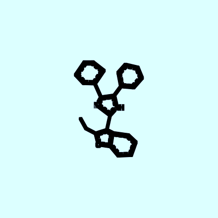 CCc1oc2ccccc2c1-c1nc(-c2ccccc2)c(-c2ccccc2)[nH]1